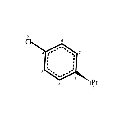 [CH2][C@H](C)c1ccc(Cl)cc1